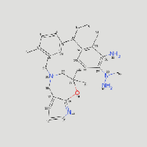 CCC(c1ccc(C)c(CN2Cc3cccnc3OC(C)(C)C2)c1)c1ccc(N(C)N)c(N)c1C